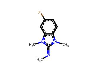 CN=c1n(C)c2ccc(Br)cc2n1C